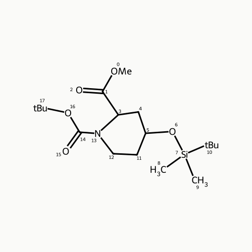 COC(=O)C1CC(O[Si](C)(C)C(C)(C)C)CCN1C(=O)OC(C)(C)C